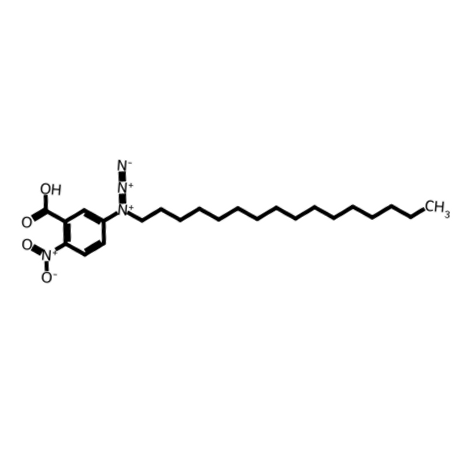 CCCCCCCCCCCCCCCC[N+](=[N+]=[N-])c1ccc([N+](=O)[O-])c(C(=O)O)c1